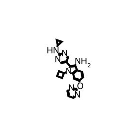 Nc1c(-c2cnc(NC3CC3)nc2)n(C2CCC2)c2cc(Oc3ncccn3)ccc12